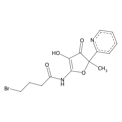 CC1(c2ccccn2)OC(NC(=O)CCCBr)=C(O)C1=O